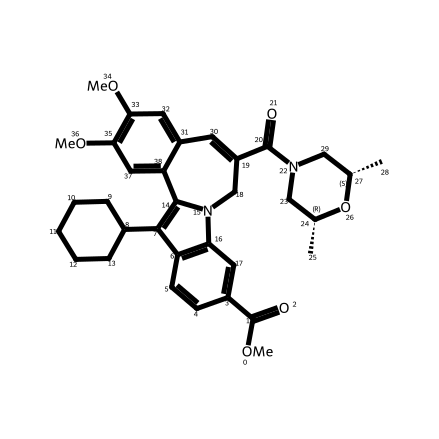 COC(=O)c1ccc2c(C3CCCCC3)c3n(c2c1)CC(C(=O)N1C[C@@H](C)O[C@@H](C)C1)=Cc1cc(OC)c(OC)cc1-3